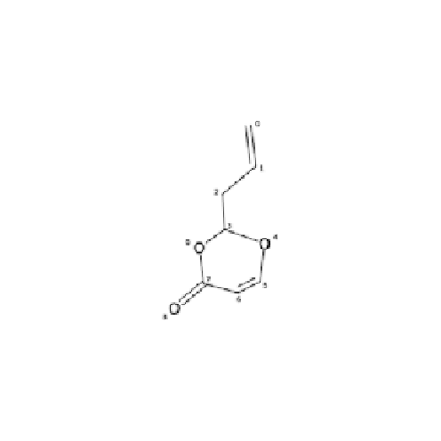 C=CCC1OC=CC(=O)O1